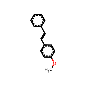 COc1ccc(C=Cc2ccccc2)cc1